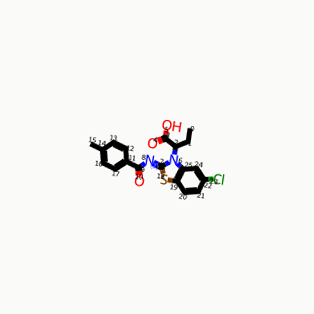 CCC(C(=O)O)n1/c(=N/C(=O)c2ccc(C)cc2)sc2ccc(Cl)cc21